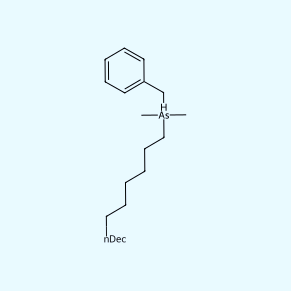 CCCCCCCCCCCCCCCC[AsH](C)(C)Cc1ccccc1